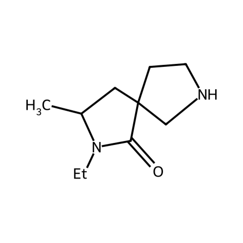 CCN1C(=O)C2(CCNC2)CC1C